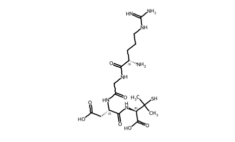 CC(C)(S)[C@H](NC(=O)[C@H](CC(=O)O)NC(=O)CNC(=O)[C@@H](N)CCCNC(=N)N)C(=O)O